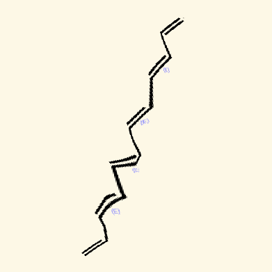 [CH]=C/C=C/C=C/C=C/C=C/C=C